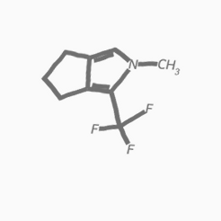 Cn1cc2c(c1C(F)(F)F)CCC2